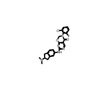 CN(C)C1Cc2ccc(Nc3ncc4c(n3)OCN(c3c(F)cccc3Cl)C4=O)cc2C1